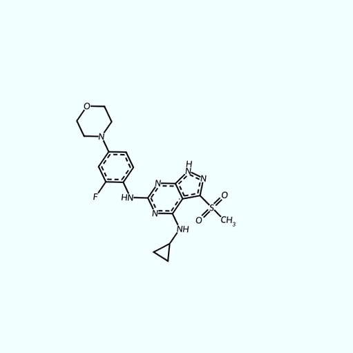 CS(=O)(=O)c1n[nH]c2nc(Nc3ccc(N4CCOCC4)cc3F)nc(NC3CC3)c12